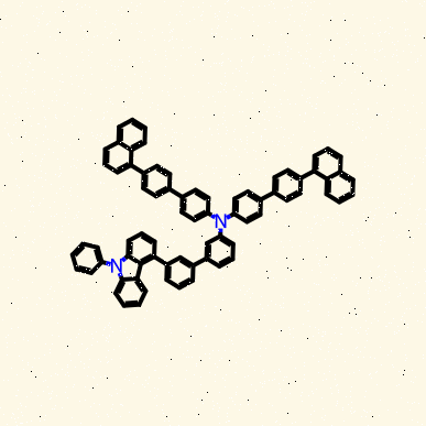 c1ccc(-n2c3ccccc3c3c(-c4cccc(-c5cccc(N(c6ccc(-c7ccc(-c8cccc9ccccc89)cc7)cc6)c6ccc(-c7ccc(-c8cccc9ccccc89)cc7)cc6)c5)c4)cccc32)cc1